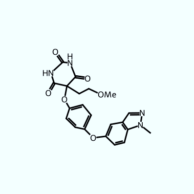 COCCC1(Oc2ccc(Oc3ccc4c(cnn4C)c3)cc2)C(=O)NC(=O)NC1=O